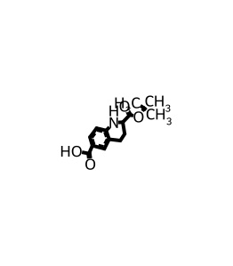 CC(C)(C)OC(=O)C1CCc2cc(C(=O)O)ccc2N1